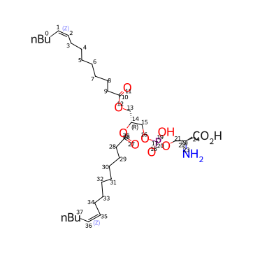 CCCC/C=C\CCCCCCCC(=O)OC[C@H](COP(=O)(O)OC[C@H](N)C(=O)O)OC(=O)CCCCCCC/C=C\CCCC